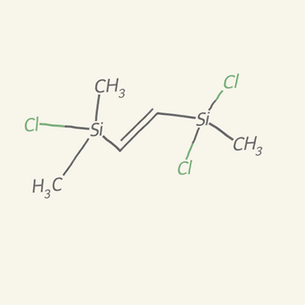 C[Si](C)(Cl)C=C[Si](C)(Cl)Cl